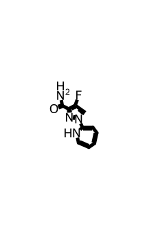 NC(=O)c1nn(C2=CC=CC=CN2)cc1F